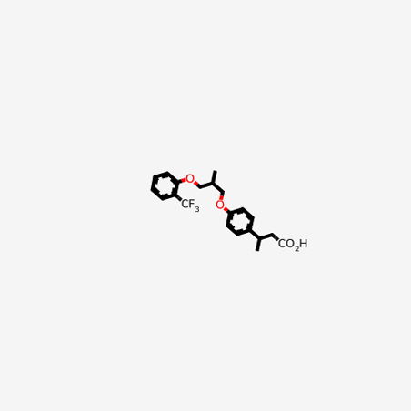 CC(COc1ccc(C(C)CC(=O)O)cc1)COc1ccccc1C(F)(F)F